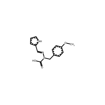 COc1ccc(CN(N=Cc2ccc[nH]2)C(=O)O)cc1